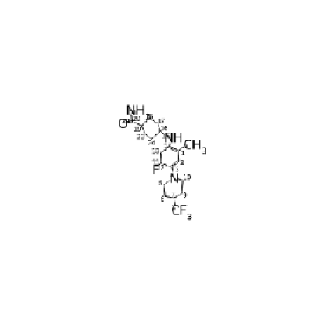 Cc1cc(N2CCC(C(F)(F)F)CC2)c(F)cc1NC1CCC(C(N)=O)CC1